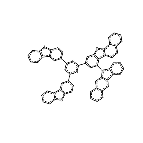 c1ccc2cc3c(cc2c1)c1ccccc1n3-c1cc(-c2nc(-c3ccc4sc5ccccc5c4c3)nc(-c3ccc4sc5ccccc5c4c3)n2)cc2oc3c4ccccc4ccc3c12